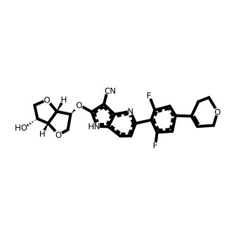 N#Cc1c(O[C@@H]2CO[C@H]3[C@@H]2OC[C@H]3O)[nH]c2ccc(-c3c(F)cc(C4=CCOCC4)cc3F)nc12